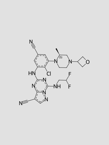 C[C@H]1CN(C2COC2)CCN1c1cc(C#N)cc(Nc2nc(NCC(F)F)n3ncc(C#N)c3n2)c1Cl